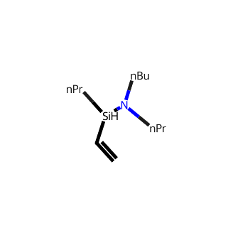 C=C[SiH](CCC)N(CCC)CCCC